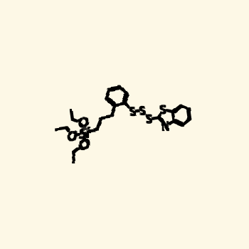 CCO[Si](CCCc1ccccc1SSSc1nc2ccccc2s1)(OCC)OCC